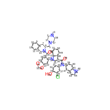 CN1CCN(C[C@@H]2Cc3ccccc3CN2C(=O)c2cc3c(cc2-n2cc(C(=O)N(c4ccc(O)c(Cl)c4)c4ccc5c(ccn5C)c4)c4ccccc42)OCO3)CC1